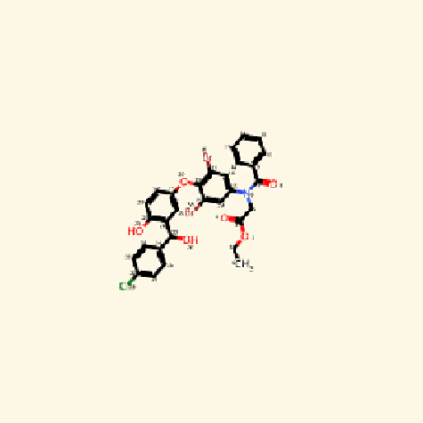 CCOC(=O)CN(C(=O)c1ccccc1)c1cc(Br)c(Oc2ccc(O)c(C(O)c3ccc(Cl)cc3)c2)c(Br)c1